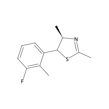 CC1=N[C@H](C)C(c2cccc(F)c2C)S1